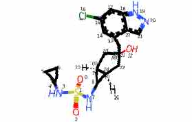 O=S(=O)(NC1CC1)NC1[C@H]2C[C@](O)(c3cc(Cl)cc4[nH]ncc34)C[C@@H]12